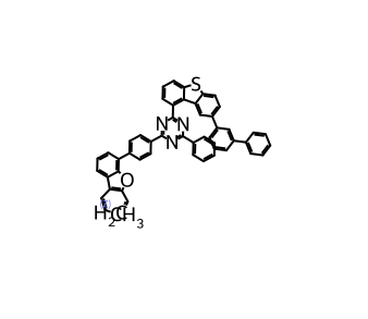 C=Cc1oc2c(-c3ccc(-c4nc(-c5ccccc5)nc(-c5cccc6sc7ccc(-c8cccc(-c9ccccc9)c8)cc7c56)n4)cc3)cccc2c1/C=C\C